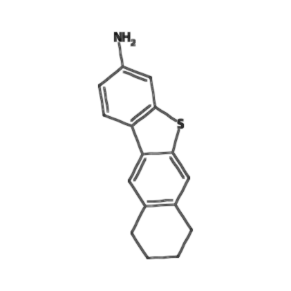 Nc1ccc2c(c1)sc1cc3c(cc12)CCCC3